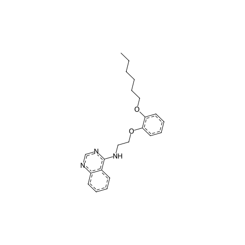 CCCCCCOc1ccccc1OCCNc1ncnc2ccccc12